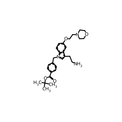 CC(C)(C)OC(=O)c1ccc(Cn2cc(CCN)c3cc(OCCN4CCOCC4)ccc32)cc1